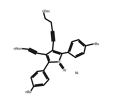 CCCCCCCCCC#CC1=C(c2ccc(CCCC)cc2)[N+](=[N-])C(c2ccc(CCCC)cc2)=C1C#CCCCCCCCCCCCC.[Ni]